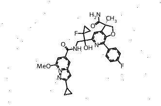 COc1cc(C(=O)NCC(O)(c2cc3c(c(-c4ccc(F)cc4)n2)OC[C@]3(C)C(N)=O)C2(F)CC2)cc2cc(C3CC3)nn12